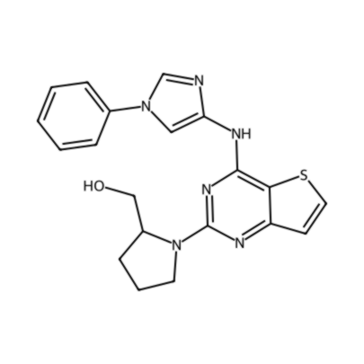 OCC1CCCN1c1nc(Nc2cn(-c3ccccc3)cn2)c2sccc2n1